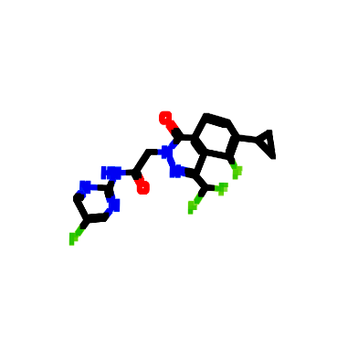 O=C(Cn1nc(C(F)F)c2c(F)c(C3CC3)ccc2c1=O)Nc1ncc(F)cn1